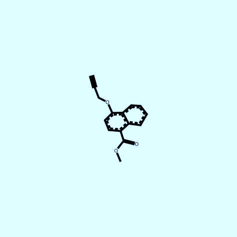 C#CCOc1ccc(C(=O)OC)c2ccccc12